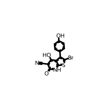 N#Cc1c(O)c2c(-c3ccc(O)cc3)c(Br)sc2[nH]c1=O